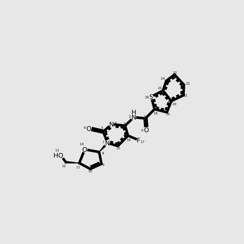 O=C(Nc1nc(=O)n([C@H]2C=C[C@@H](CO)O2)cc1F)c1cc2ccccc2s1